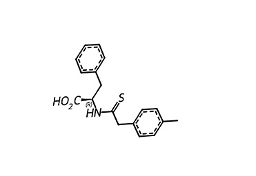 Cc1ccc(CC(=S)N[C@H](Cc2ccccc2)C(=O)O)cc1